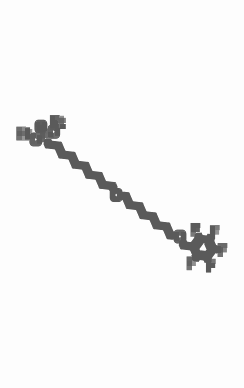 CCOP(=O)(CCCCCCCCCCOCCCCCCCCOCc1c(F)c(F)c(F)c(F)c1F)OCC